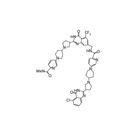 CNC(=O)c1ccc(N2CCC(N3CCC(c4nc5cc(CNC(=O)c6ccc(N7CCC(N8CCC(c9nc%10cccc(Cl)c%10c(=O)[nH]9)C8)CC7)cn6)cc(C(F)(F)F)c5c(=O)[nH]4)C3)CC2)cn1